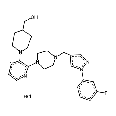 Cl.OCC1CCN(c2nccnc2N2CCN(Cc3cnn(-c4cccc(F)c4)c3)CC2)CC1